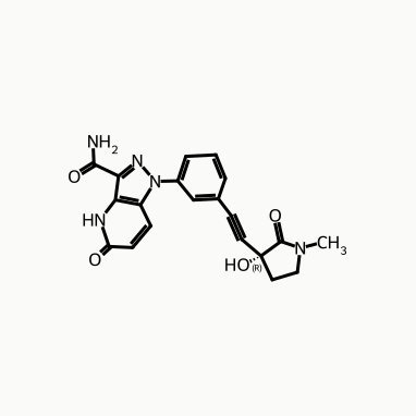 CN1CC[C@@](O)(C#Cc2cccc(-n3nc(C(N)=O)c4[nH]c(=O)ccc43)c2)C1=O